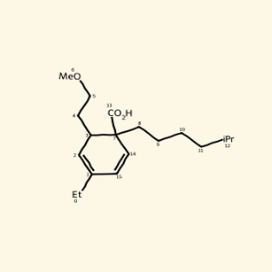 CCC1=CC(CCOC)C(CCCCC(C)C)(C(=O)O)C=C1